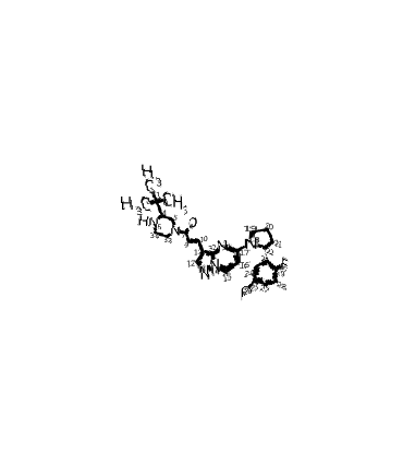 CC(C)(C)C1CN(C(=O)/C=C/c2cnn3ccc(N4CCC[C@@H]4c4cc(F)ccc4F)nc23)CCN1